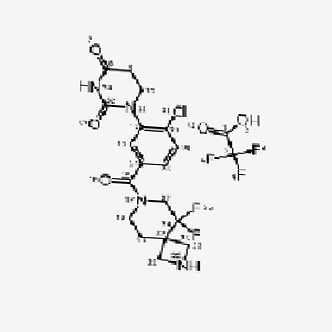 O=C(O)C(F)(F)F.O=C1CCN(c2cc(C(=O)N3CCC4(CNC4)C(F)(F)C3)ccc2Cl)C(=O)N1